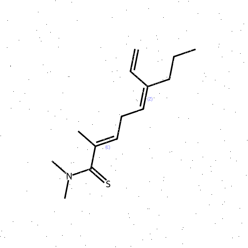 C=C/C(=C\C/C=C(\C)C(=S)N(C)C)CCC